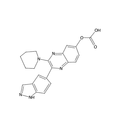 O=C(O)Oc1ccc2nc(-c3ccc4[nH]ncc4c3)c(N3CCCCC3)nc2c1